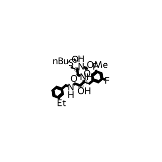 CCCC[S+]([O-])C[C@@H](NC(=O)OC)C(=O)N[C@@H](Cc1cc(F)cc(F)c1)[C@H](O)CNCc1cccc(CC)c1